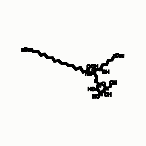 CCCCCCCCCCCCCCCCCCCCCCCCCC(=O)NC(CO[C@H]1O[C@H](CO)[C@H](O)[C@H](O)[C@H]1O)[C@H](O)[C@H](O)CCCCCCCCCCCCCC